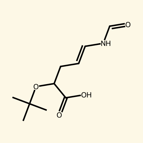 CC(C)(C)OC(CC=CNC=O)C(=O)O